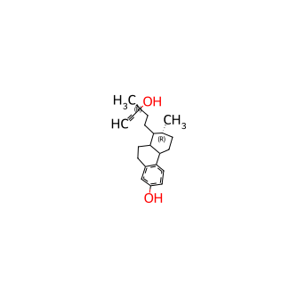 C#C[C@](C)(O)CCC1C2CCc3cc(O)ccc3C2CC[C@H]1C